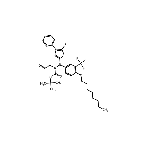 CCCCCCCCOc1ccc(N(c2nc(-c3cccnc3)c(F)s2)N(CC=O)C(=O)OC(C)(C)C)cc1C(F)(F)F